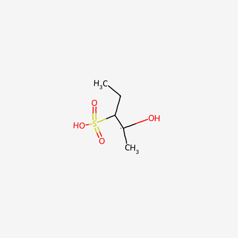 CCC([C](C)O)S(=O)(=O)O